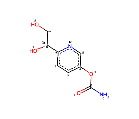 NC(=O)Oc1ccc([C@H](O)CO)nc1